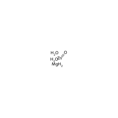 O.O.[MgH2].[O]=[Zn]